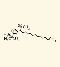 CCCCCCCCCCCCC(c1coc([Si](C)(C)C)c1)[S+](C)[O-]